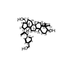 C=C(C[n+]1ccc(CO)cc1)[C@@H]1CC[C@]2(CO)CC[C@]3(C)[C@H](CCC4[C@@]5(C)CCC(O)C(C)(C)[C@@H]5CC[C@]43C)[C@@H]12